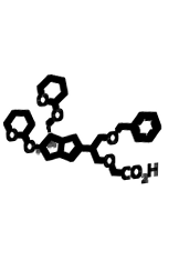 O=C(O)COCC(COCc1ccccc1)C1=CC2C[C@@H](OC3CCCCO3)[C@H](COC3CCCCO3)C2C1